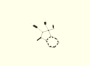 C=C1c2ccccc2C(C#N)(C=O)C1C#N